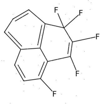 FC1=C(F)C(F)(F)c2cccc3ccc(F)c1c23